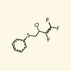 FC(F)=C(F)C(Cl)CSc1ccccc1